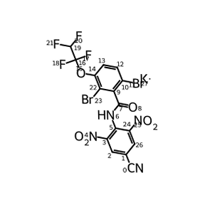 N#Cc1cc([N+](=O)[O-])c(NC(=O)c2c(Br)ccc(OC(F)(F)C(F)F)c2Br)c([N+](=O)[O-])c1.[K]